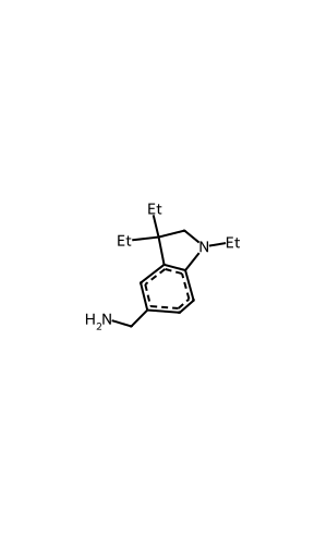 CCN1CC(CC)(CC)c2cc(CN)ccc21